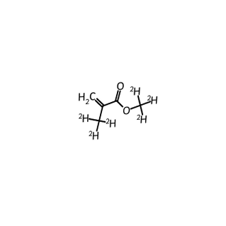 [2H]C([2H])([2H])OC(=O)C(=C)C([2H])([2H])[2H]